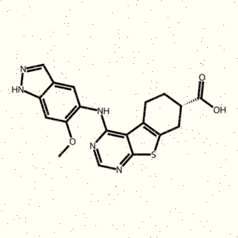 COc1cc2[nH]ncc2cc1Nc1ncnc2sc3c(c12)CC[C@H](C(=O)O)C3